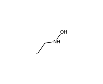 [CH2]CNO